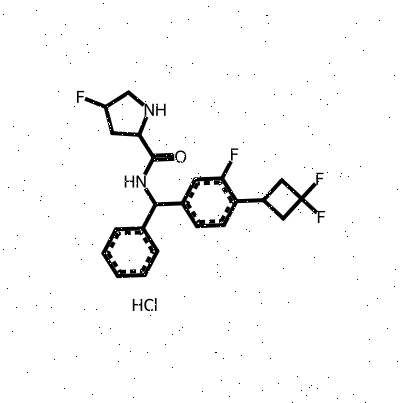 Cl.O=C(NC(c1ccccc1)c1ccc(C2CC(F)(F)C2)c(F)c1)C1CC(F)CN1